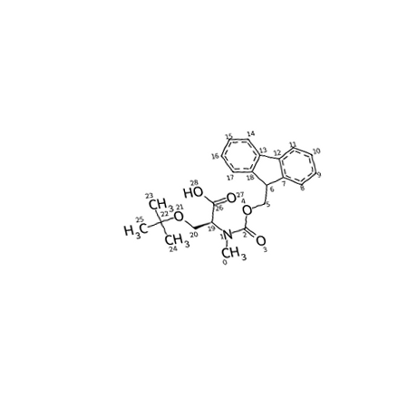 CN(C(=O)OCC1c2ccccc2-c2ccccc21)[C@@H](COC(C)(C)C)C(=O)O